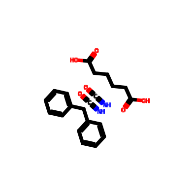 N=C=O.N=C=O.O=C(O)CCCCC(=O)O.c1ccc(Cc2ccccc2)cc1